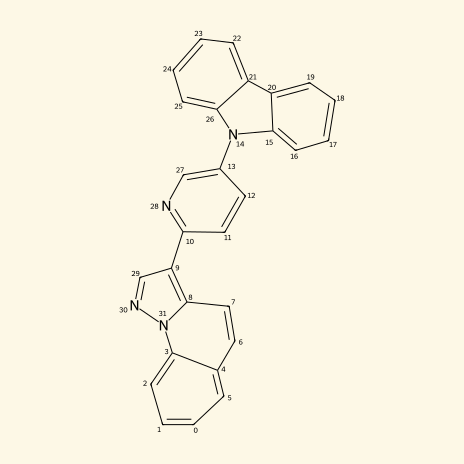 c1ccc2c(c1)ccc1c(-c3ccc(-n4c5ccccc5c5ccccc54)cn3)cnn12